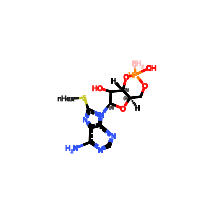 B[PH]1(O)OC[C@H]2O[C@@H](n3c(SCCCCCC)nc4c(N)ncnc43)C(O)[C@@H]2O1